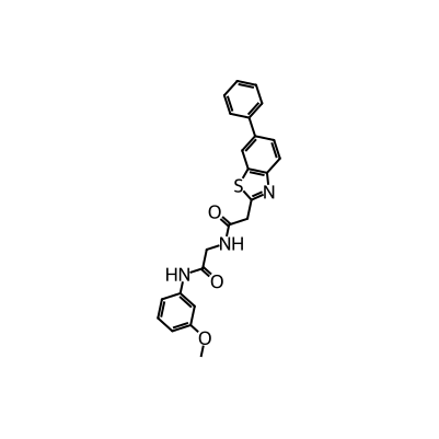 COc1cccc(NC(=O)CNC(=O)Cc2nc3ccc(-c4ccccc4)cc3s2)c1